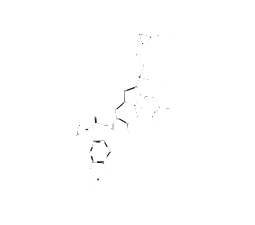 CC[C@@H](CO)CN1C(C(C)(C)CC[C@H]2C[C@H]2C)=CC2=CC(NC(=O)C3(c4ccc5c(c4)OC(F)(F)O5)CC3)=C(F)C[C@@]21C